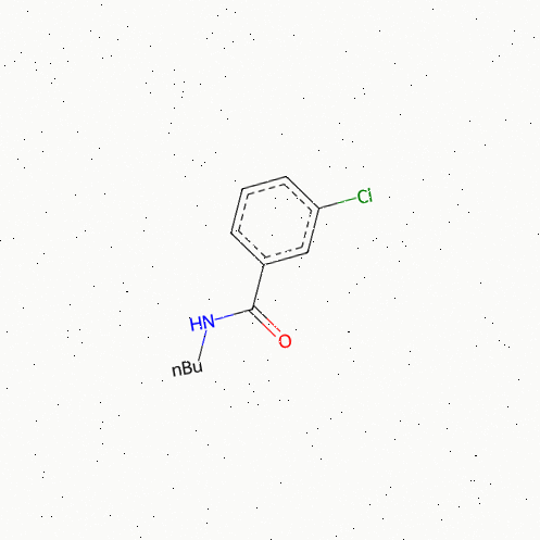 CCCCNC(=O)c1cccc(Cl)c1